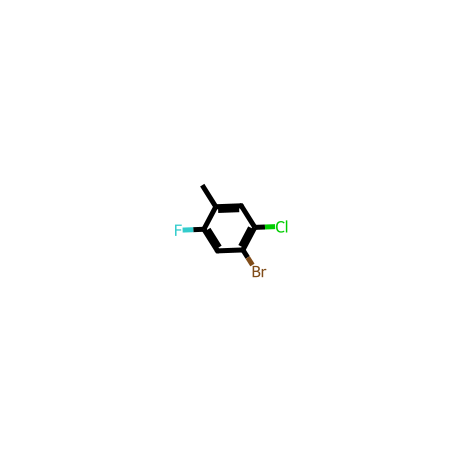 Cc1cc(Cl)c(Br)cc1F